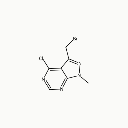 Cn1nc(CBr)c2c(Cl)ncnc21